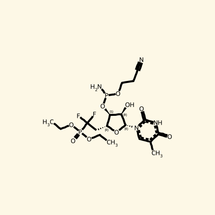 CCOP(=O)(OCC)C(F)(F)C[C@H]1O[C@@H](n2cc(C)c(=O)[nH]c2=O)[C@H](O)[C@@H]1OP(N)OCCC#N